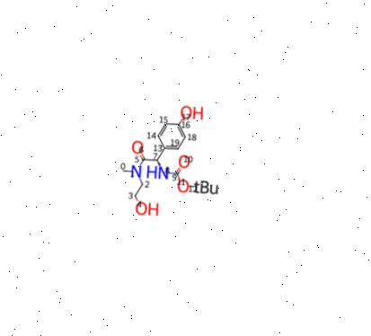 CN(CCO)C(=O)[C@H](NC(=O)OC(C)(C)C)c1ccc(O)cc1